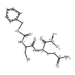 CC(C)CC(NC(=O)OCc1ccccc1)C(=O)NN(CCC(N)=O)C(=O)[C@@H](F)Cl